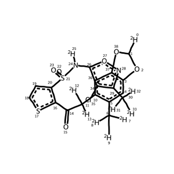 [2H]C1Oc2cc(C([2H])([2H])[2H])c(C([2H])([2H])C(=O)c3sccc3S(=O)(=O)N([2H])c3onc(C([2H])([2H])[2H])c3Cl)cc2O1